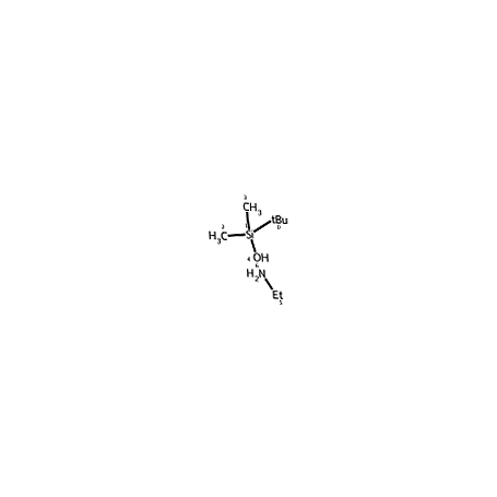 CC(C)(C)[Si](C)(C)O.CCN